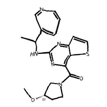 CO[C@H]1CCN(C(=O)c2nc(NC(C)c3cccnc3)nc3ccsc23)C1